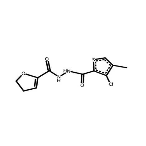 Cc1csc(C(=O)NNC(=O)C2=CCCO2)c1Cl